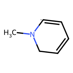 CN1[C]=CC=CC1